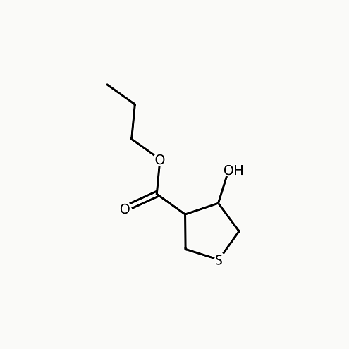 CCCOC(=O)C1CSCC1O